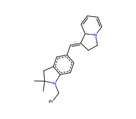 CC(C)CN1c2ccc(/C=C3\CCN4C=CC=CC34)cc2CC1(C)C